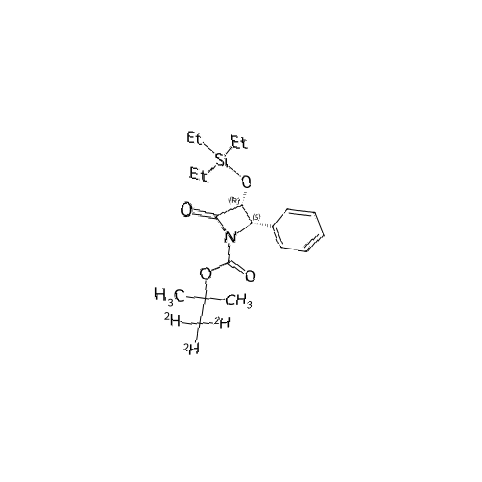 [2H]C([2H])([2H])C(C)(C)OC(=O)N1C(=O)[C@H](O[Si](CC)(CC)CC)[C@@H]1c1ccccc1